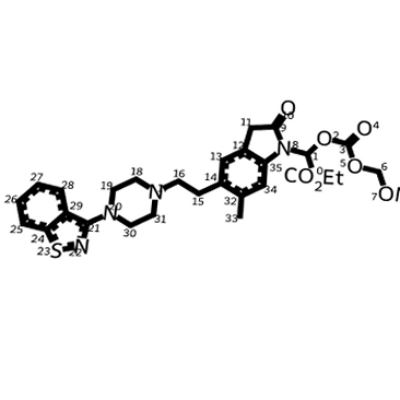 CCOC(=O)C(OC(=O)OCOC)N1C(=O)Cc2cc(CCN3CCN(c4nsc5ccccc45)CC3)c(C)cc21